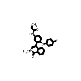 C=CC(=O)Nc1ccc(Oc2ccc(F)cc2)c(-c2cn(C)c(=O)c3ccccc23)c1